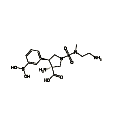 CN(CCN)S(=O)(=O)N1C[C@H](c2cccc(B(O)O)c2)[C@](N)(C(=O)O)C1